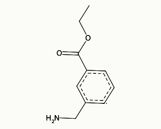 CCOC(=O)c1cc[c]c(CN)c1